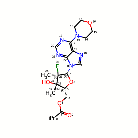 CC(C)C(=O)OC[C@H]1O[C@@H](n2cnc3c(N4CCOCC4)ncnc32)[C@](C)(F)[C@@]1(C)O